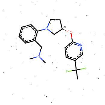 CN(C)Cc1ccccc1N1CC[C@H](Oc2ccc(C(C)(F)F)cn2)C1